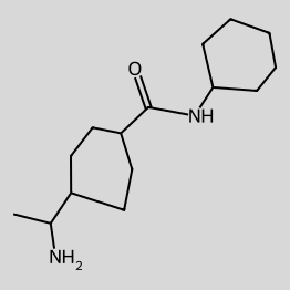 CC(N)C1CCC(C(=O)NC2CCCCC2)CC1